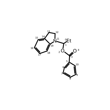 [CH2]CC(OC(=O)c1ccccc1)N1CCc2ccccc21